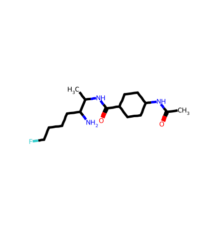 CC(=O)NC1CCC(C(=O)NC(C)C(N)CCCCF)CC1